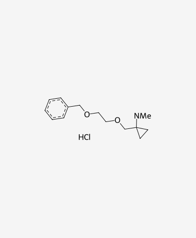 CNC1(COCCOCc2ccccc2)CC1.Cl